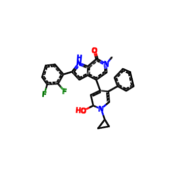 Cn1cc(C2=CC(O)N(C3CC3)C=C2c2ccccc2)c2cc(-c3cccc(F)c3F)[nH]c2c1=O